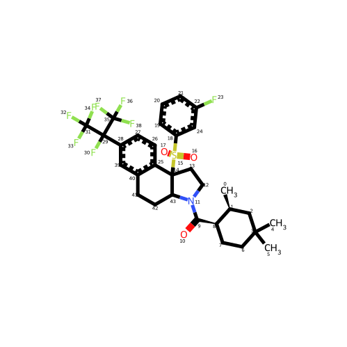 C[C@H]1CC(C)(C)CC[C@H]1C(=O)N1CCC2(S(=O)(=O)c3cccc(F)c3)c3ccc(C(F)(C(F)(F)F)C(F)(F)F)cc3CCC12